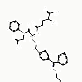 NCCO/N=C(\c1ccccc1)c1ccc(CSC[C@H](NC(=O)CCC(N)C(=O)O)C(=O)N(CC(=O)O)c2ccccc2)cc1